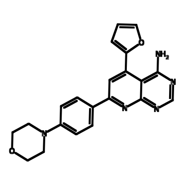 Nc1ncnc2nc(-c3ccc(N4CCOCC4)cc3)cc(-c3ccco3)c12